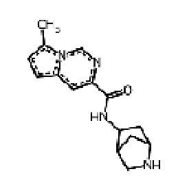 Cc1ccc2cc(C(=O)NC3CC4CC3CN4)ncn12